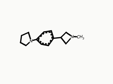 CN1CC(c2ccc(N3CCCC3)cc2)C1